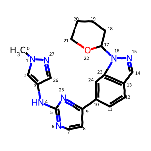 Cn1cc(Nc2nccc(-c3ccc4cnn(C5CCCCO5)c4c3)n2)cn1